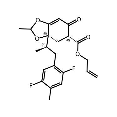 C=CCOC(=O)[C@@H]1C[C@]2([C@H](C)Cc3cc(F)c(C)cc3F)OC(C)OC2=CC1=O